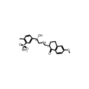 COc1ccc2c(c1)CC[C@H](CNC[C@@H](O)c1ccc(C)c(S(N)(=O)=O)c1)C2=O